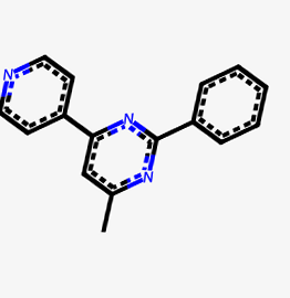 Cc1cc(-c2ccncc2)nc(-c2ccccc2)n1